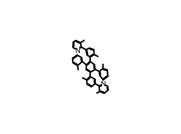 Cc1ccccc1-c1cc(-c2cc(-c3ncccc3C)ccc2C)c(-c2ccccc2C)cc1-c1cc(-c2ncccc2C)ccc1C